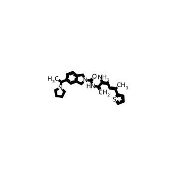 C=C(NC(=O)N1Cc2ccc(C(C)N3CCCC3)cc2C1)/C(N)=C\C=C(/C)c1cccs1